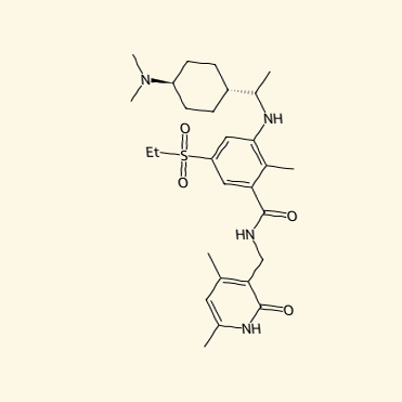 CCS(=O)(=O)c1cc(NC(C)[C@H]2CC[C@H](N(C)C)CC2)c(C)c(C(=O)NCc2c(C)cc(C)[nH]c2=O)c1